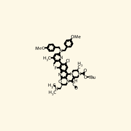 COc1ccc(CN(Cc2ccc(OC)cc2)c2cc(C)c(I)c(-c3c(Cl)cc4c5c6c(nc4c3F)O[C@H](CN(C)C)CN6C(=C=O)[C@H]3CN(C(=O)OC(C)(C)C)[C@H](C)CN53)n2)cc1